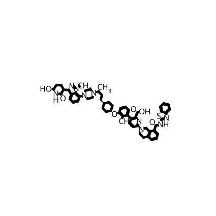 Cc1c(O[C@H]2CC[C@H](CC[C@H](C)N3CCN(c4cccc5c(C6CCC(O)NC6=O)nn(C)c45)CC3)CC2)cccc1-c1ccc(N2CCc3cccc(C(=O)Nc4nc5ccccc5s4)c3C2)nc1C(=O)O